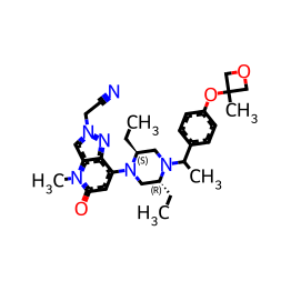 CC[C@H]1CN(C(C)c2ccc(OC3(C)COC3)cc2)[C@H](CC)CN1c1cc(=O)n(C)c2cn(CC#N)nc12